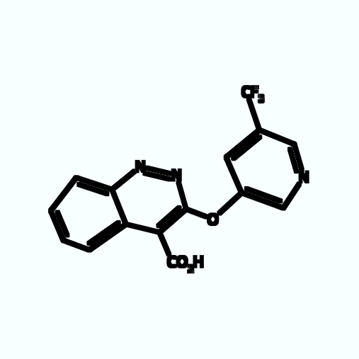 O=C(O)c1c(Oc2cncc(C(F)(F)F)c2)nnc2ccccc12